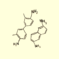 Cc1cc(-c2ccc(N)c(C)c2)ccc1N.Nc1ccc2cc(N)ccc2c1